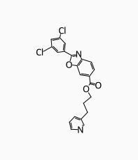 O=C(OCCCc1cccnc1)c1ccc2nc(-c3cc(Cl)cc(Cl)c3)oc2c1